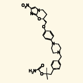 CC(C)(Cc1ccc(CN2CCN(c3ccc(OC[C@@H]4CCn5cc([N+](=O)[O-])nc5O4)cc3)CC2)cc1)OC(N)=O